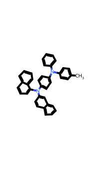 Cc1ccc(N(c2ccccc2)c2ccc(N(c3ccc4ccccc4c3)c3cccc4ccccc34)cc2)cc1